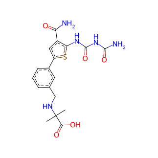 CC(C)(NCc1cccc(-c2cc(C(N)=O)c(NC(=O)NC(N)=O)s2)c1)C(=O)O